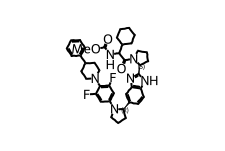 COC(=O)NC(C(=O)N1CCC[C@H]1c1nc2cc([C@H]3CCCN3c3cc(F)c(N4CCC(c5ccccc5)CC4)c(F)c3)ccc2[nH]1)C1CCCCC1